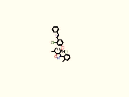 [2H]C([2H])(Oc1ccc(/C=C/c2ccccc2)c(Cl)c1)c1c(-c2c(C)cccc2Cl)noc1C(C)C